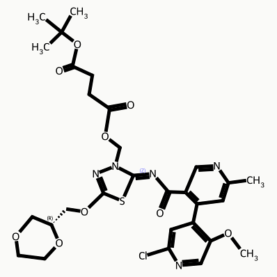 COc1cnc(Cl)cc1-c1cc(C)ncc1C(=O)/N=c1\sc(OC[C@H]2COCCO2)nn1COC(=O)CCC(=O)OC(C)(C)C